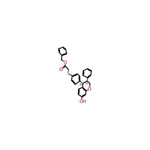 O=C(CSc1ccc([C@@H]2c3ccc(O)cc3OC[C@@H]2c2ccccc2)cc1)OCc1ccccc1